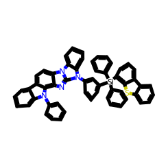 c1ccc(-n2c3ccccc3c3ccc4c(nc5n(-c6cccc([Si](c7ccccc7)(c7ccccc7)c7cccc8c7sc7ccccc78)c6)c6ccccc6n45)c32)cc1